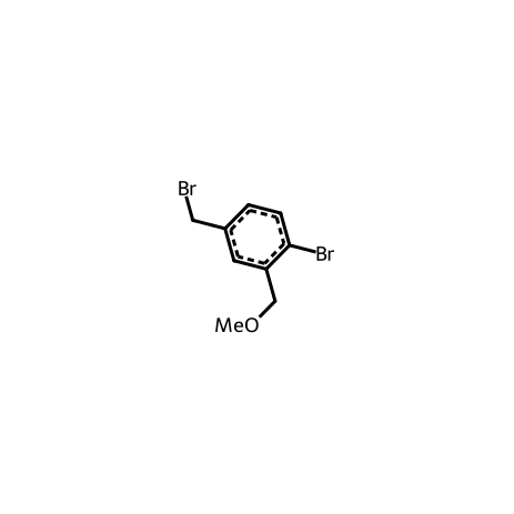 COCc1cc(CBr)ccc1Br